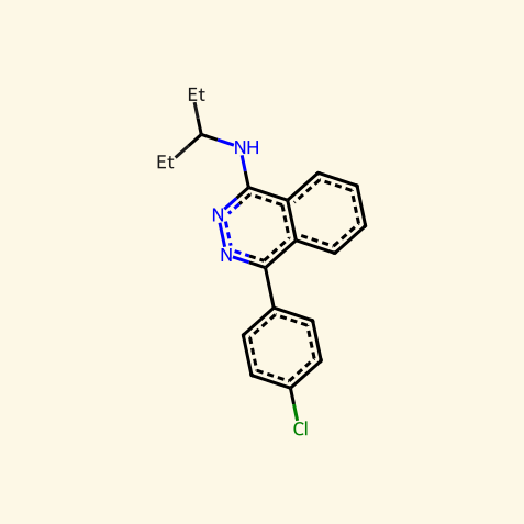 CCC(CC)Nc1nnc(-c2ccc(Cl)cc2)c2ccccc12